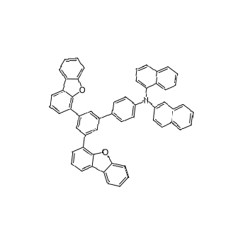 c1ccc2cc(N(c3ccc(-c4cc(-c5cccc6c5oc5ccccc56)cc(-c5cccc6c5oc5ccccc56)c4)cc3)c3cccc4ccccc34)ccc2c1